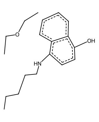 CCCCCNc1ccc(O)c2ccccc12.CCOCC